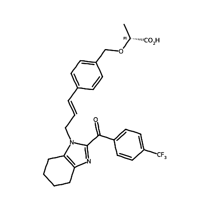 C[C@@H](OCc1ccc(C=CCn2c(C(=O)c3ccc(C(F)(F)F)cc3)nc3c2CCCC3)cc1)C(=O)O